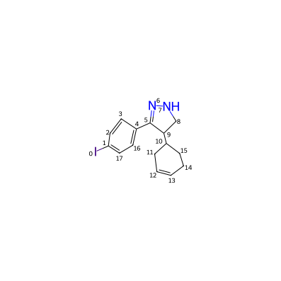 Ic1ccc(C2=NNCC2C2CC=CCC2)cc1